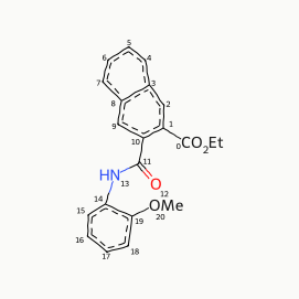 CCOC(=O)c1cc2ccccc2cc1C(=O)Nc1ccccc1OC